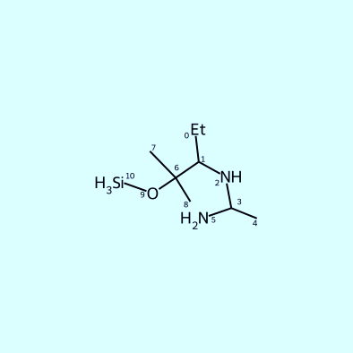 CCC(NC(C)N)C(C)(C)O[SiH3]